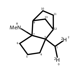 [2H]C([2H])C12CCCC1(NC)C1CCC2C1